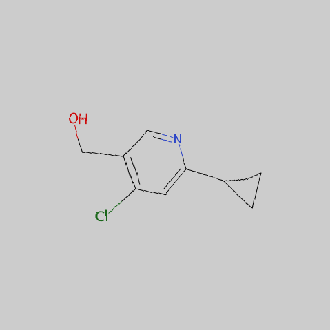 OCc1cnc(C2CC2)cc1Cl